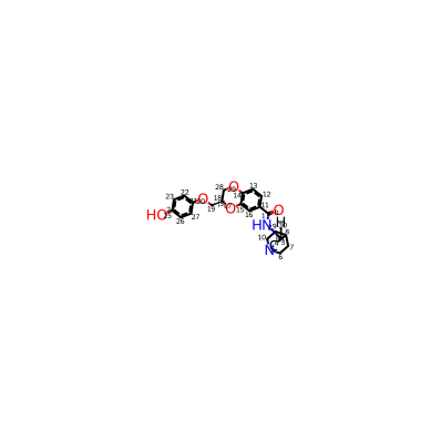 O=C(N[C@H]1CN2CCC1CC2)c1ccc2c(c1)O[C@@H](COc1ccc(O)cc1)CO2